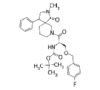 CN1CC(c2ccccc2)C2(CCCN(C(=O)[C@@H](COCc3ccc(F)cc3)NC(=O)OC(C)(C)C)C2)C1=O